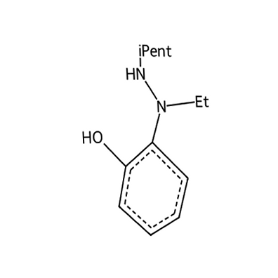 CCCC(C)NN(CC)c1ccccc1O